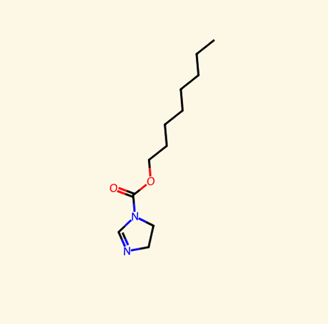 CCCCCCCCOC(=O)N1C=NCC1